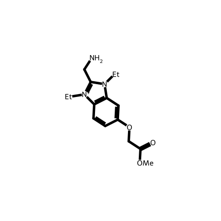 CCn1c(CN)[n+](CC)c2ccc(OCC(=O)OC)cc21